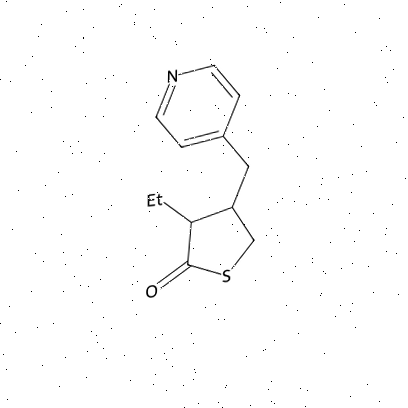 CCC1C(=O)SCC1Cc1ccncc1